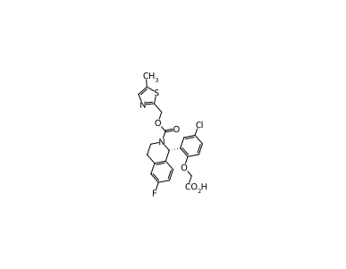 Cc1cnc(COC(=O)N2CCc3cc(F)ccc3[C@H]2c2cc(Cl)ccc2OCC(=O)O)s1